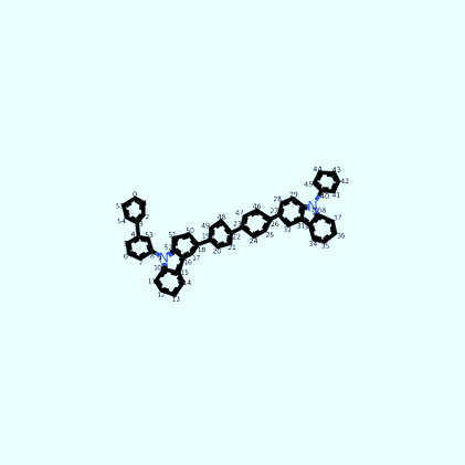 c1ccc(-c2cccc(-n3c4ccccc4c4cc(-c5ccc(-c6ccc(-c7ccc8c(c7)c7ccccc7n8-c7ccccc7)cc6)cc5)ccc43)c2)cc1